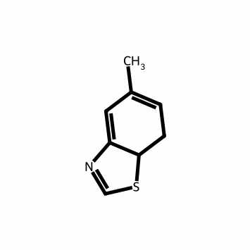 CC1=CCC2SC=NC2=C1